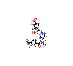 Cc1c([C@@H](O)CN2CCC(CN(C)C[C@H](O)c3ccc4c(c3)COC4=O)CC2)ccc2c1COC2=O